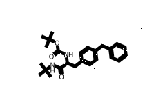 CC(C)(C)NC(=O)C(Cc1ccc(Cc2ccccc2)cc1)NC(=O)OC(C)(C)C